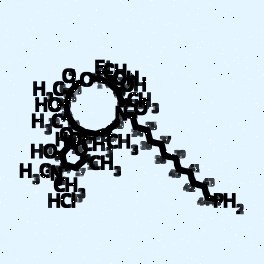 CC[C@H]1OC(=O)[C@H](C)[C@@H](O)[C@H](C)[C@@H](O[C@@H]2O[C@H](C)C[C@H](N(C)C)[C@H]2O)[C@](C)(O)C[C@@H](C)CN(C(=O)CCCCCCCCCCCP)[C@H](C)[C@@H](O)[C@]1(C)O.Cl